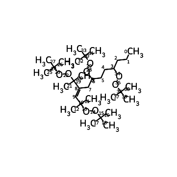 CCCC(CCC(CC(=CC(C)(C)OOC(C)(C)C)C(C)(C)OOC(C)(C)C)OOC(C)(C)C)OOC(C)(C)C